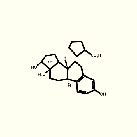 C[C@]12CC[C@@H]3c4ccc(O)cc4CC[C@H]3[C@@H]1CC[C@@H]2O.O=C(O)C1CCCC1